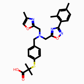 Cc1ccc(-c2noc(CN(Cc3ccc(SC(C)(C)C(=O)O)cc3)Cc3nc(C)co3)n2)c(C)c1